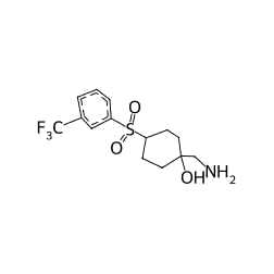 NCC1(O)CCC(S(=O)(=O)c2cccc(C(F)(F)F)c2)CC1